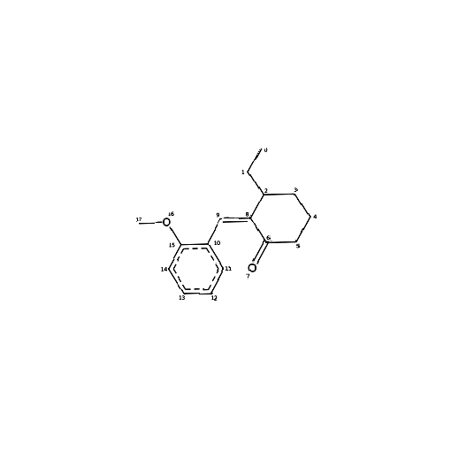 CCC1CCCC(=O)C1=Cc1ccccc1OC